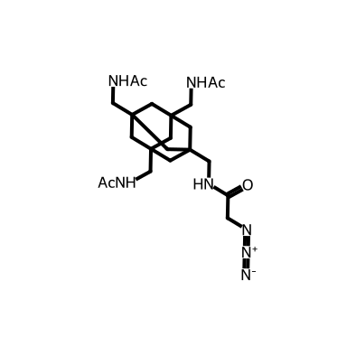 CC(=O)NCC12CC3(CNC(C)=O)CC(CNC(C)=O)(C1)CC(CNC(=O)CN=[N+]=[N-])(C2)C3